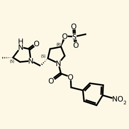 C[C@H]1CN(C[C@@H]2C[C@@H](OS(C)(=O)=O)CN2C(=O)OCc2ccc([N+](=O)[O-])cc2)C(=O)N1